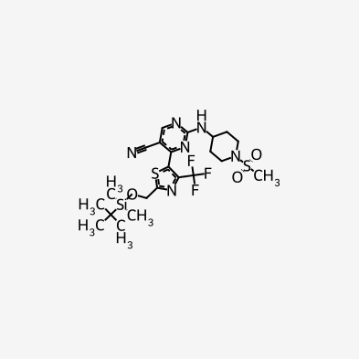 CC(C)(C)[Si](C)(C)OCc1nc(C(F)(F)F)c(-c2nc(NC3CCN(S(C)(=O)=O)CC3)ncc2C#N)s1